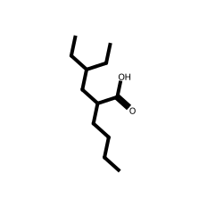 CCCCC(CC(CC)CC)C(=O)O